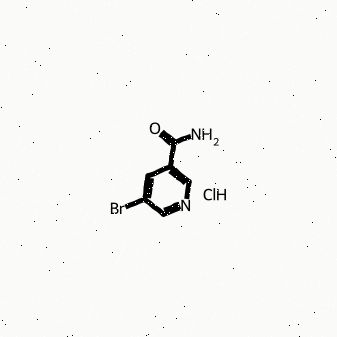 Cl.NC(=O)c1cncc(Br)c1